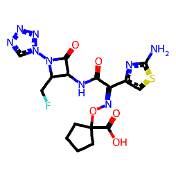 Nc1nc(C(=NOC2(C(=O)O)CCCC2)C(=O)NC2C(=O)N(n3cnnn3)C2CF)cs1